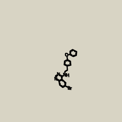 Brc1ccc2ncnc(NCCc3ccc(Oc4ccccc4)cc3)c2c1